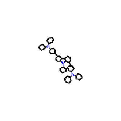 c1ccc(N(c2ccccc2)c2ccc(-c3ccc4c(c3)c3cccc(-c5ccc(N(c6ccccc6)c6ccccc6)cc5)c3n4-c3ccccc3)cc2)cc1